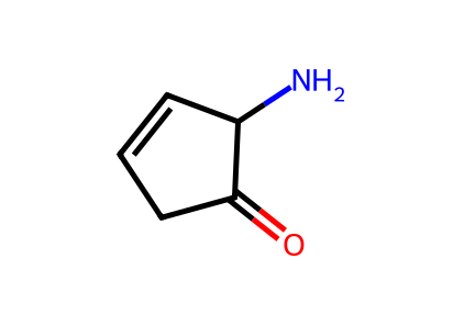 NC1C=CCC1=O